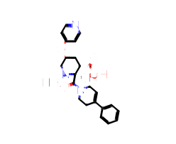 CN1C[C@@H](Oc2ccncc2)C[C@H](C(=O)O)[C@@]1(C)C(=O)N1CC=C(c2ccccc2)CC1